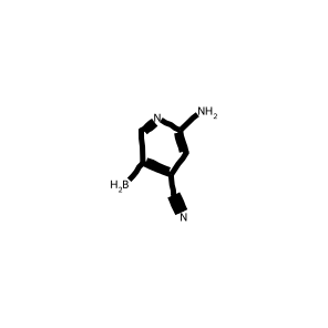 Bc1cnc(N)cc1C#N